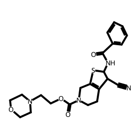 N#CC1C2=C(CN(C(=O)OCCN3CCOCC3)CC2)SC1NC(=O)c1ccccc1